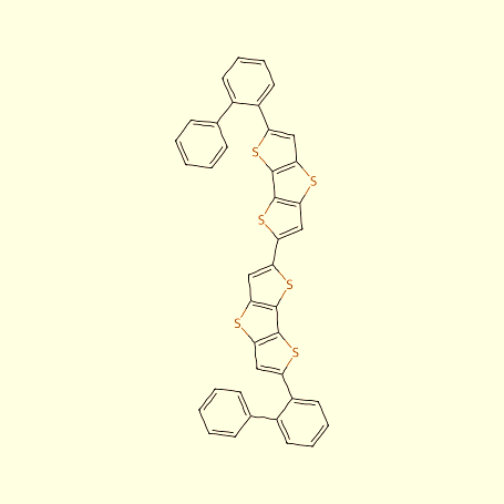 c1ccc(-c2ccccc2-c2cc3sc4cc(-c5cc6sc7cc(-c8ccccc8-c8ccccc8)sc7c6s5)sc4c3s2)cc1